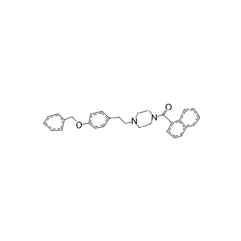 O=C(c1cccc2ccccc12)N1CCN(CCc2ccc(OCc3ccccc3)cc2)CC1